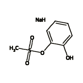 CS(=O)(=O)Oc1ccccc1O.[NaH]